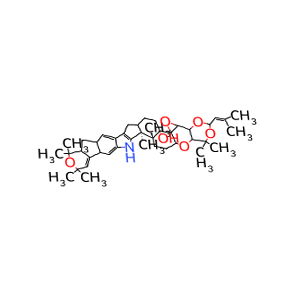 CC(C)=CC1OC2C(OC3CC[C@@]4(C)C(O)(CCC5Cc6c([nH]c7c6=CC6CC8C(=CC(C)(C)OC8(C)C)C6C=7)[C@@]54C)C34OC24)C(C)(C)O1